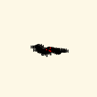 C[C@@H]1C[C@@H]2O[C@H]3[C@H](C[C@H]2O[C@H]2C[C@H]4O[C@H]5C/C=C\C[C@H]6O[C@H]7C=C[C@H]8O[C@H]9[C@H](O)[C@H]%10O[C@@H](/C=C/[C@H](O)CO)C=CC[C@@H]%10O[C@@H]9C[C@@H]8O[C@@H]7C=C[C@@H]6O[C@@H]5C[C@@H](O)[C@]4(C)O[C@@H]2C1)O[C@@H]1[C@@H](C)[C@H](C)C2(C[C@H](O)CO2)O[C@H]1C(O)[C@@H]3C